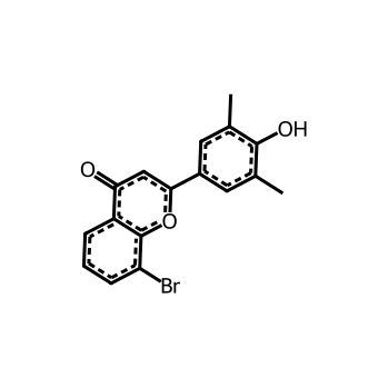 Cc1cc(-c2cc(=O)c3cccc(Br)c3o2)cc(C)c1O